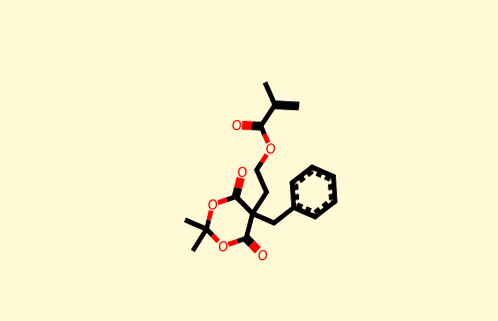 C=C(C)C(=O)OCCC1(Cc2ccccc2)C(=O)OC(C)(C)OC1=O